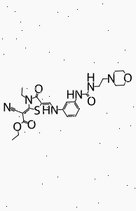 CCOC(=O)C(C#N)=c1sc(=CNc2cccc(NC(=O)NCCN3CCOCC3)c2)c(=O)n1CC